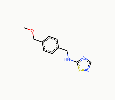 COCc1ccc(CNc2ncns2)cc1